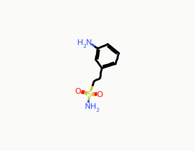 Nc1cccc(CCS(N)(=O)=O)c1